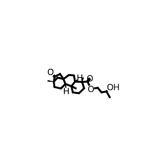 CC(O)CCOC(=O)[C@]1(C)CCCC2(C)[C@@H]3CC[C@@]4(C)CC3(CC[C@@H]21)CC4=O